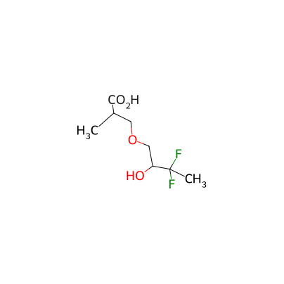 CC(COCC(O)C(C)(F)F)C(=O)O